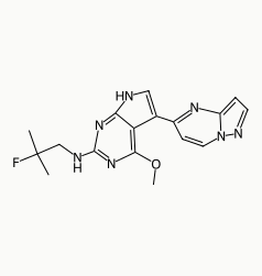 COc1nc(NCC(C)(C)F)nc2[nH]cc(-c3ccn4nccc4n3)c12